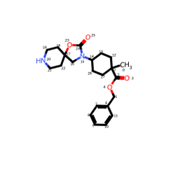 CC1(C(=O)OCc2ccccc2)CCC(N2CC3(CCNCC3)OC2=O)CC1